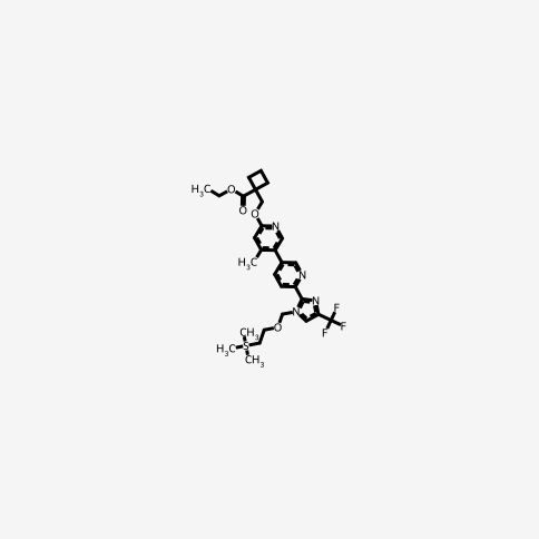 CCOC(=O)C1(COc2cc(C)c(-c3ccc(-c4nc(C(F)(F)F)cn4COCCS(C)(C)C)nc3)cn2)CCC1